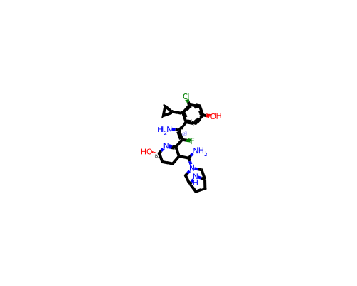 N/C(=C(/F)C1=N[C@@H](O)CCC1C(N)N1CC2CCC(C1)N2)c1cc(O)cc(Cl)c1C1CC1